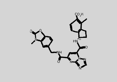 Cc1c(C(=O)O)ccc2c1CC[C@@H]2NC(=O)c1cc(C(=O)NCc2ccc3oc(=O)n(C)c3c2)nc2ncnn12